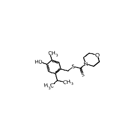 Cc1cc(CSC(=S)N2CCOCC2)c(C(C)C)cc1O